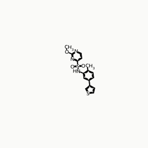 COc1nccc(S(=O)(=O)Nc2cc(-c3ccsc3)ccc2C)n1